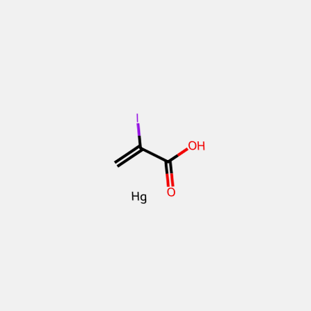 C=C(I)C(=O)O.[Hg]